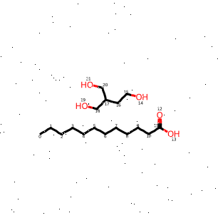 CCCCCCCCCCCC(=O)O.OCCC(CO)CO